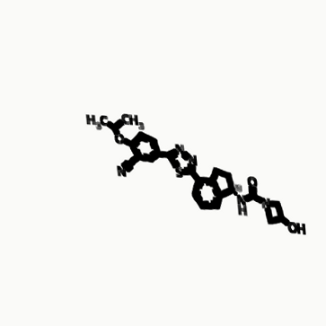 CC(C)Oc1ccc(-c2nnc(-c3cccc4c3CC[C@@H]4NC(=O)N3CC(O)C3)s2)cc1C#N